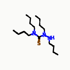 CCCCNN(CCCC)C(=S)N(CCCC)CCCC